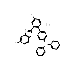 Br.Cc1ccc(-c2ccc(P(c3ccccc3)c3ccccc3)cc2)c(-c2nc3cc([N+](=O)[O-])ccc3s2)c1